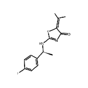 CC(C)=C1SC(N[C@@H](C)c2ccc(F)cc2)=NC1=O